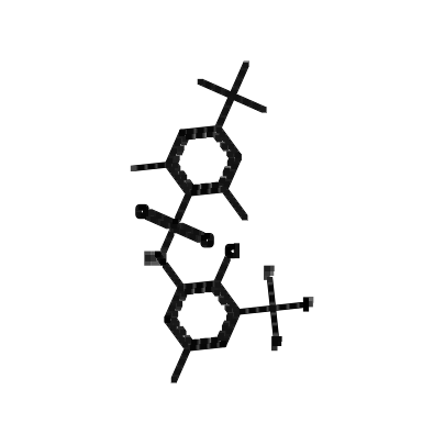 Cc1cc(NS(=O)(=O)c2c(C)cc(C(C)(C)C)cc2C)c(Cl)c(C(F)(F)F)c1